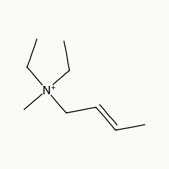 CC=CC[N+](C)(CC)CC